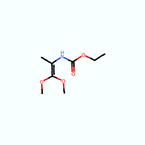 CCOC(=O)NC(C)=C(OC)OC